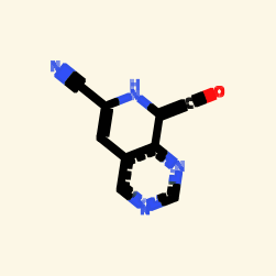 N#CC1=Cc2cncnc2C(=C=O)N1